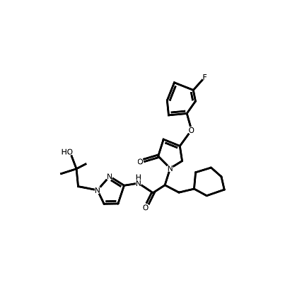 CC(C)(O)Cn1ccc(NC(=O)C(CC2CCCCC2)N2CC(Oc3cccc(F)c3)=CC2=O)n1